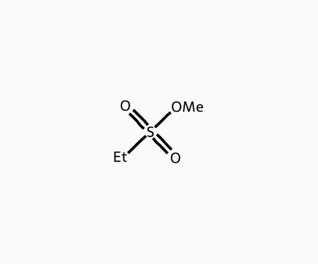 [CH2]CS(=O)(=O)OC